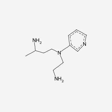 CC(N)CCN(CCN)c1cccnc1